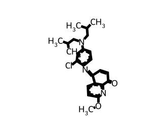 COc1ccc2c(n1)C(=O)C=CC2=Nc1ccc(N(CC(C)C)CC(C)C)cc1Cl